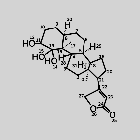 C[C@]12CC[C@H]3[C@@H](CC[C@@H]4CCC(O)C(O)(O)[C@@]43C)[C@H]1CC[C@H]2C1=CC(=O)OC1